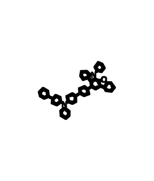 c1ccc(-c2ccc(N(c3ccccc3)c3ccc(-c4ccc(-c5cc6c7ccccc7oc6c6c5c5ccccc5n6-c5ccccc5)cc4)cc3)cc2)cc1